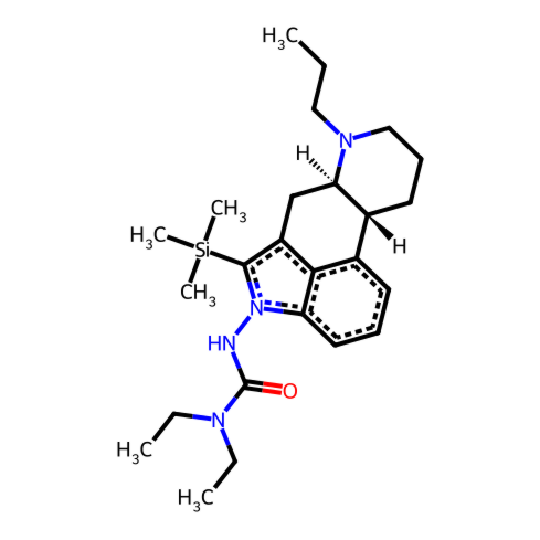 CCCN1CCC[C@@H]2c3cccc4c3c(c([Si](C)(C)C)n4NC(=O)N(CC)CC)C[C@H]21